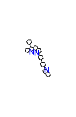 c1ccc(-c2c3ccccc3nc3c2ccc2ccc(-c4ccc(-c5ccc(-c6ccc7ccccc7n6)cc5)cc4)nc23)cc1